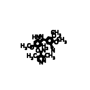 COc1cc2[nH]nc(-c3cc(C#N)c(OC)c(OC)c3)c2cc1O[C@H](N)c1c(C)cnnc1C